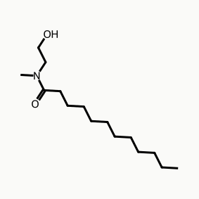 CCCCCCCCCCCC(=O)N(C)CCO